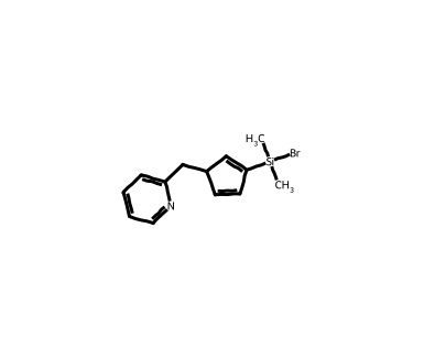 C[Si](C)(Br)C1=C[C](Cc2ccccn2)C=C1